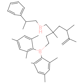 C=C(C)C(C)CC(C)(CBCC(C)c1ccccc1)CCB(c1c(C)cc(C)cc1C)c1c(C)cc(C)cc1C